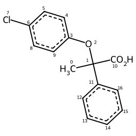 CC(Oc1ccc(Cl)cc1)(C(=O)O)c1ccccc1